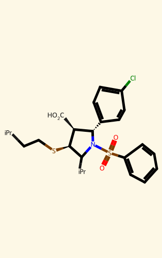 CC(C)CCS[C@@H]1C(C(C)C)N(S(=O)(=O)c2ccccc2)[C@@H](c2ccc(Cl)cc2)[C@@H]1C(=O)O